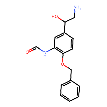 NCC(O)c1ccc(OCc2ccccc2)c(NC=O)c1